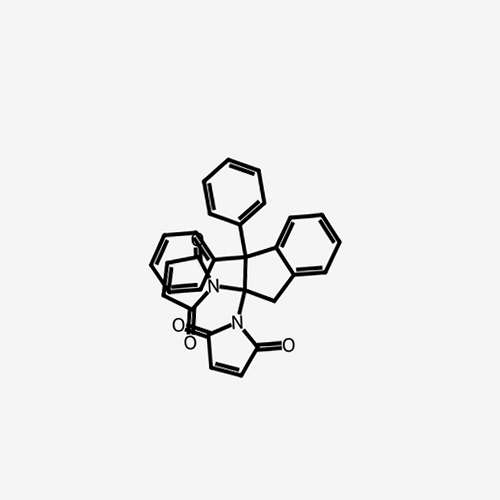 O=C1C=CC(=O)N1C1(N2C(=O)C=CC2=O)Cc2ccccc2C1(c1ccccc1)c1ccccc1